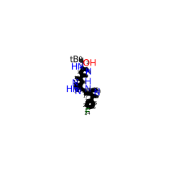 CC(C)(C)C(O)Nc1cncc(-c2cnc3[nH]nc(-c4cc5c(-c6ccc(F)cc6)cncc5[nH]4)c3c2)c1